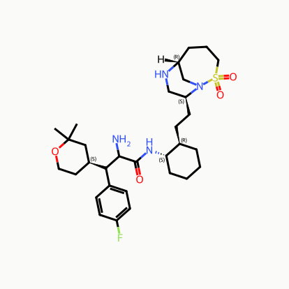 CC1(C)C[C@@H](C(c2ccc(F)cc2)C(N)C(=O)N[C@H]2CCCC[C@@H]2CC[C@H]2CN[C@@H]3CCCS(=O)(=O)N2C3)CCO1